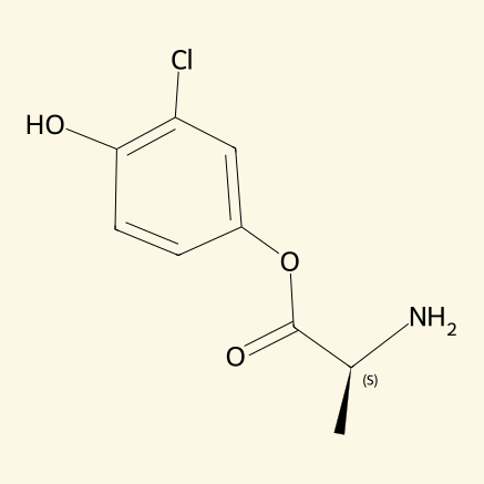 C[C@H](N)C(=O)Oc1ccc(O)c(Cl)c1